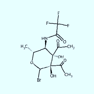 CC(=O)[C@]1(O)C(Br)O[C@H](C)[C@@H](NC(=O)C(F)(F)F)[C@@]1(O)C(C)=O